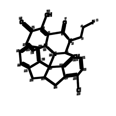 CC1N(CCF)C(=O)c2c(O)c(=O)ccn2N1C12c3ccccc3CC1Cc1c(Cl)cccc12